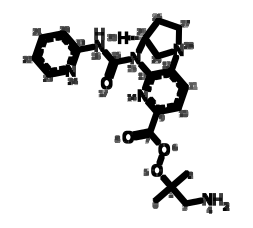 CC(C)(CN)OOC(=O)c1ccc2c(n1)N(C(=O)Nc1ccccn1)[C@H]1CCN2C1